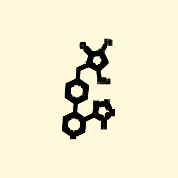 CCCCc1cn(CC)c(=O)n1Cc1ccc(-c2ccncc2-c2nnn[nH]2)cc1